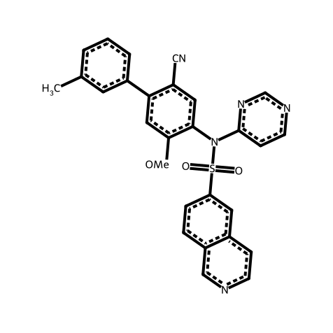 COc1cc(-c2cccc(C)c2)c(C#N)cc1N(c1ccncn1)S(=O)(=O)c1ccc2cnccc2c1